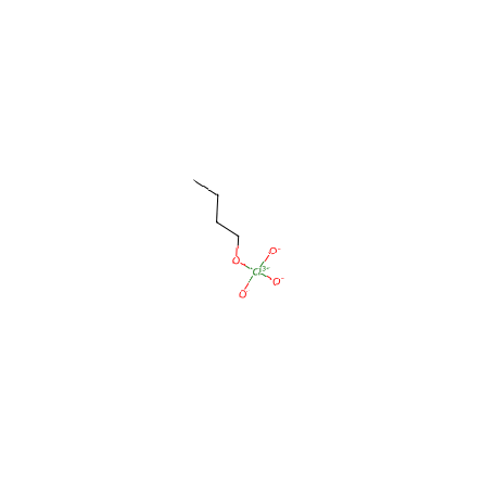 CCCCO[Cl+3]([O-])([O-])[O-]